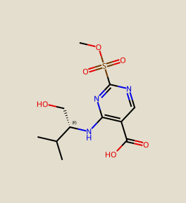 COS(=O)(=O)c1ncc(C(=O)O)c(N[C@@H](CO)C(C)C)n1